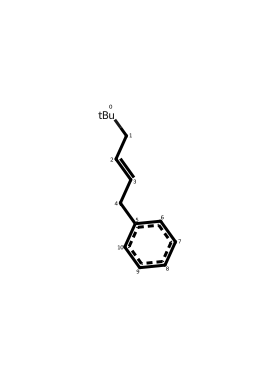 CC(C)(C)CC=C[CH]c1ccccc1